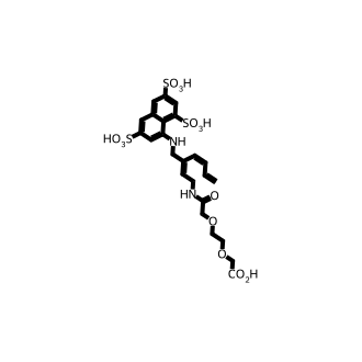 C=C/C=C\C(=C/CNC(=O)COCCOCC(=O)O)CNc1cc(S(=O)(=O)O)cc2cc(S(=O)(=O)O)cc(S(=O)(=O)O)c12